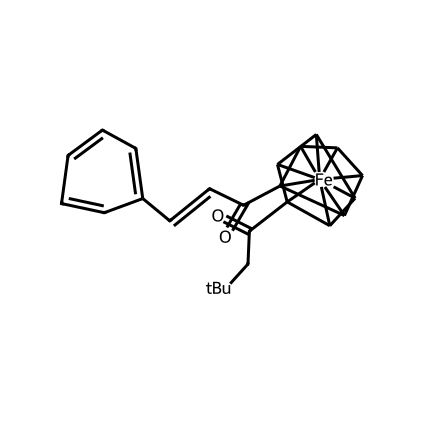 CC(C)(C)CC(=O)[C]12[CH]3[CH]4[CH]5[CH]1[Fe]45321678[CH]2[CH]1[CH]6[C]7(C(=O)C=Cc1ccccc1)[CH]28